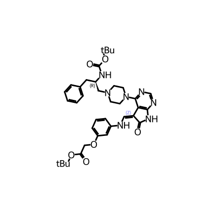 CC(C)(C)OC(=O)COc1cccc(N/C=C2\C(=O)Nc3ncnc(N4CCN(C[C@@H](Cc5ccccc5)NC(=O)OC(C)(C)C)CC4)c32)c1